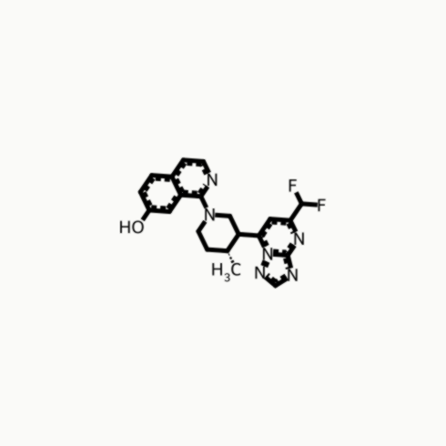 C[C@@H]1CCN(c2nccc3ccc(O)cc23)CC1c1cc(C(F)F)nc2ncnn12